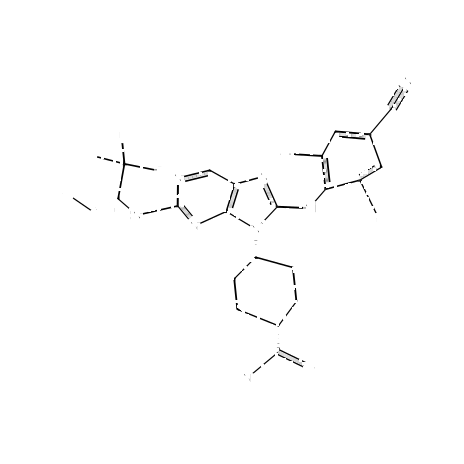 N#Cc1cc(Cl)c(Nc2nc3cnc(N[C@H](CO)C(F)(F)F)nc3n2[C@H]2CC[C@@H](C(N)=O)CC2)c(Cl)c1